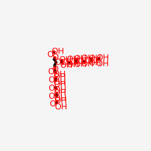 O=C(O)O.O=C(O)O.O=C(O)O.O=C(O)O.O=C(O)O.O=C(O)O.O=C(O)O.O=C(O)O.O=C(O)O.O=C(O)O.O=C(O)OCCCOC(=O)O